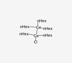 CCCCC[CH2][Ge]([Cl])([CH2]CCCCC)[Ge]([CH2]CCCCC)([CH2]CCCCC)[CH2]CCCCC